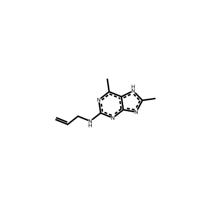 C=CCNc1nc(C)c2[nH]c(C)nc2n1